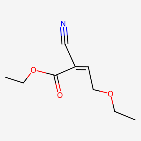 CCOCC=C(C#N)C(=O)OCC